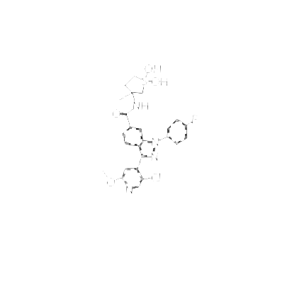 COc1cc(-c2nn(-c3ccc(F)cc3)c3cc(C(=O)NC4(C)CCS(O)(O)C4)ccc23)c(Cl)cn1